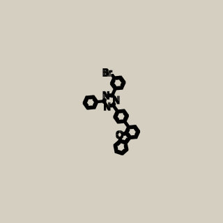 Brc1cccc(-c2nc(-c3ccccc3)nc(-c3ccc(-c4cccc5c4oc4ccccc45)cc3)n2)c1